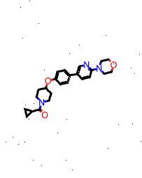 O=C(C1CC1)N1CCC(Oc2ccc(-c3ccc(N4CCOCC4)nc3)cc2)CC1